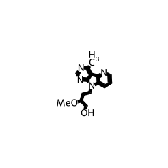 COC(CO)CCn1c2cccnc2c2c(C)ncnc21